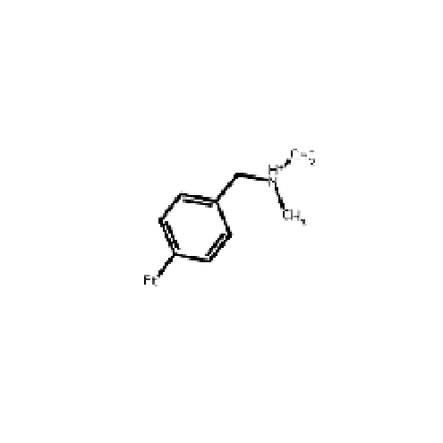 [CH2-][NH+](C)Cc1ccc(CC)cc1